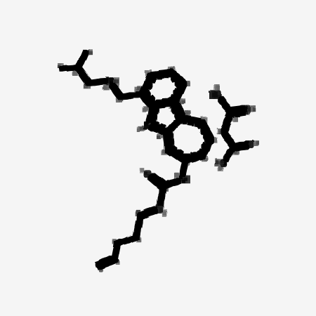 C=CCCCOC(=O)Nc1cccc2c3cccc(CNCC(C)C)c3nc-2c1.O=C(O)CC(=O)O